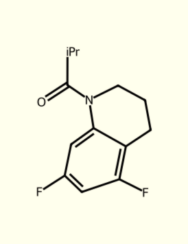 CC(C)C(=O)N1CCCc2c(F)cc(F)cc21